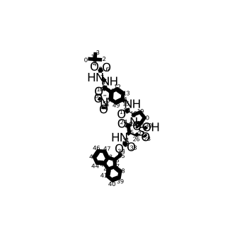 CC(C)(C)OC(=O)NNC(=O)c1ccc(NC(=O)[C@@H]2CCCN2C(=O)[C@@H](CS(=O)(=O)O)NC(=O)OCC2c3ccccc3-c3ccccc32)cc1[N+](=O)[O-]